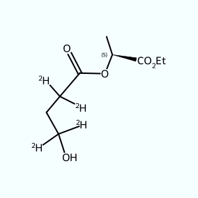 [2H]C([2H])(O)CC([2H])([2H])C(=O)O[C@@H](C)C(=O)OCC